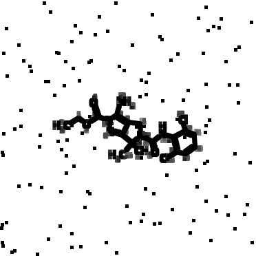 CCOC(=O)n1nc2c(c1N)CN(C(=O)Nc1c(Cl)cccc1Cl)C2(C)C